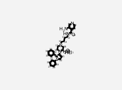 Cl.Cl.Nc1cnccc1C(=O)NCCCCN1CCN(C2=CC=S(c3ccccc3)N2c2ccccc2)CC1.O